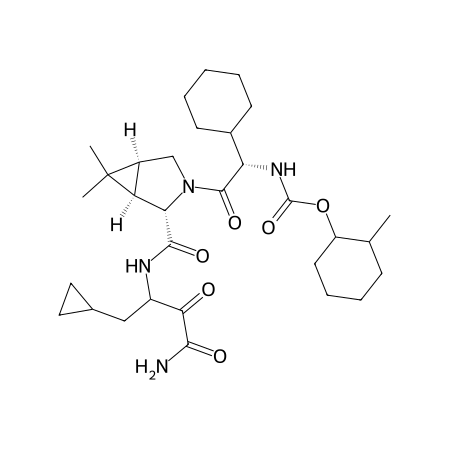 CC1CCCCC1OC(=O)N[C@H](C(=O)N1C[C@H]2[C@@H]([C@H]1C(=O)NC(CC1CC1)C(=O)C(N)=O)C2(C)C)C1CCCCC1